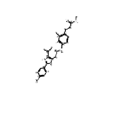 COC(=O)CCc1ccc(OCCc2oc(-c3ccc(Br)cc3)nc2C(C)C)cc1C